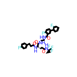 O=C(CCc1ccc(F)cc1)N[C@@H](CCC(=O)NC1(C(F)(F)F)CC1)C(=O)NCCNC(=O)c1cc(-c2ccccc2F)ccc1F